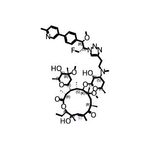 CC[C@H]1OC(=O)[C@H](C)C([C@H]2C[C@@](C)(OC)[C@@H](O)[C@H](C)O2)[C@H](C)[C@@H](O[C@@H]2O[C@H](C)C[C@H](N(C)CCc3cn([C@H](CF)[C@H](OC)c4ccc(-c5ccc(C)nc5)cc4)nn3)[C@H]2O)[C@](C)(OC)C[C@@H](C)C(=O)/C(C)=C/[C@]1(C)O